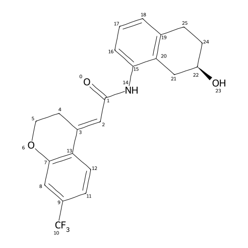 O=C(/C=C1\CCOc2cc(C(F)(F)F)ccc21)Nc1cccc2c1C[C@H](O)CC2